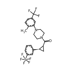 Cc1ccc(C(F)(F)F)cc1N1CCN(C(=O)C2C[C@H]2c2cccc(S(F)(F)(F)(F)F)c2)CC1